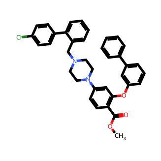 COC(=O)c1ccc(N2CCN(Cc3ccccc3-c3ccc(Cl)cc3)CC2)cc1Oc1cccc(-c2ccccc2)c1